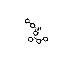 c1ccc(-c2ccc(Nc3ccc(N(c4ccccc4)c4cccc(-c5ccccc5)c4)cc3)cc2)cc1